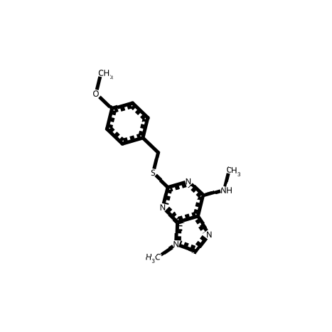 CNc1nc(SCc2ccc(OC)cc2)nc2c1ncn2C